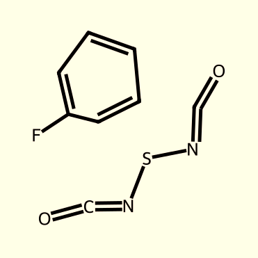 Fc1ccccc1.O=C=NSN=C=O